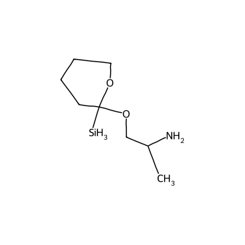 CC(N)COC1([SiH3])CCCCO1